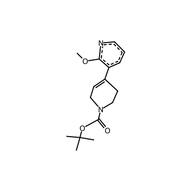 COc1ncccc1C1=CCN(C(=O)OC(C)(C)C)CC1